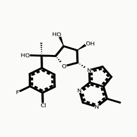 Cc1ncnc2c1ccn2[C@@H]1O[C@H]([C@](C)(O)c2ccc(Cl)c(F)c2)[C@@H](O)[C@H]1O